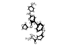 CN(C)C(=O)N1CCC(Oc2ccc(-c3cnc(N[C@H]4CC[C@H](C)CC4)nc3O[C@@H]3CCOC3)cc2)C1